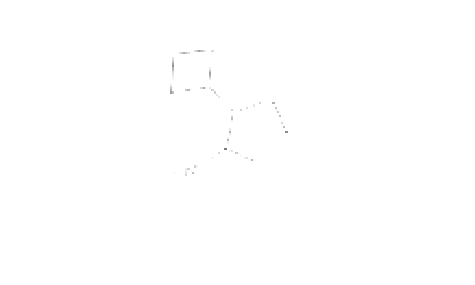 NC1CCCC1C1CCC1